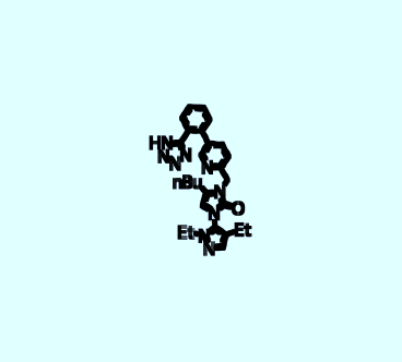 CCCCc1cn(-c2c(CC)cnn2CC)c(=O)n1Cc1ccc(-c2ccccc2-c2nnn[nH]2)cn1